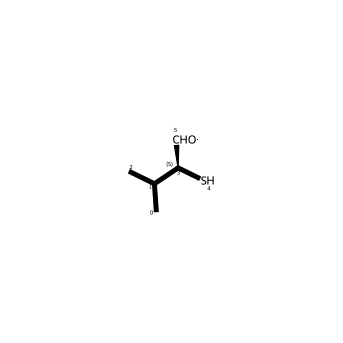 CC(C)[C@H](S)[C]=O